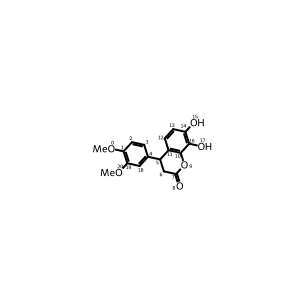 COc1ccc(C2CC(=O)Oc3c2ccc(O)c3O)cc1OC